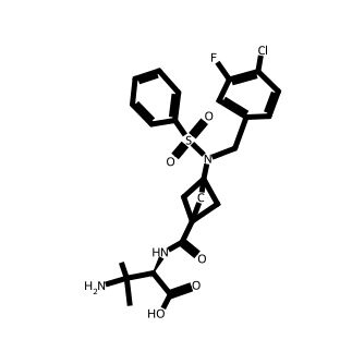 CC(C)(N)[C@@H](NC(=O)C12CC(N(Cc3ccc(Cl)c(F)c3)S(=O)(=O)c3ccccc3)(C1)C2)C(=O)O